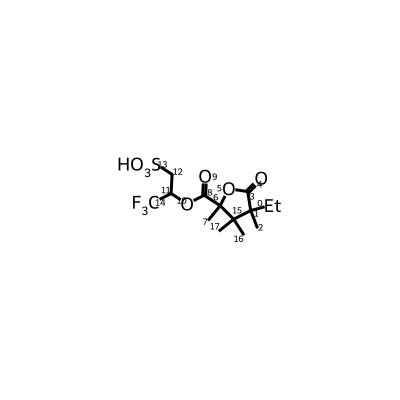 CCC1(C)C(=O)OC(C)(C(=O)OC(CS(=O)(=O)O)C(F)(F)F)C1(C)C